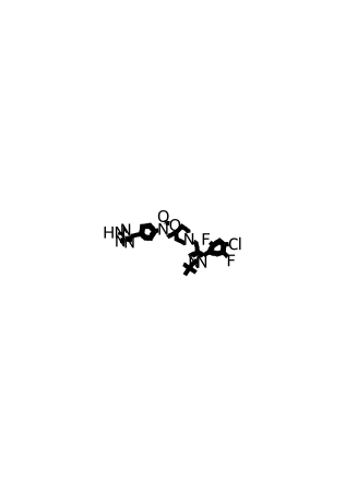 CC(C)(C)n1cc(CN2CCC3(CC2)CN(c2ccc(-c4nn[nH]n4)cc2)C(=O)O3)c(-c2cc(F)c(Cl)cc2F)n1